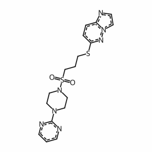 O=S(=O)(CCCSc1ccc2nccn2n1)N1CCN(c2ncccn2)CC1